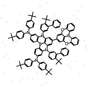 CC(C)(C)c1ccc(N(c2ccc(C(C)(C)C)cc2)c2ccc3c(c2)N(c2ccc(C(C)(C)C)c(-c4ccccc4)c2)c2cc(-c4cc5c6c(c4)Oc4ccccc4B6c4ccccc4O5)cc4c2B3c2ccc(N(c3ccc(C(C)(C)C)cc3)c3ccc(C(C)(C)C)cc3)cc2N4c2ccc(C(C)(C)C)c(-c3ccccc3)c2)cc1